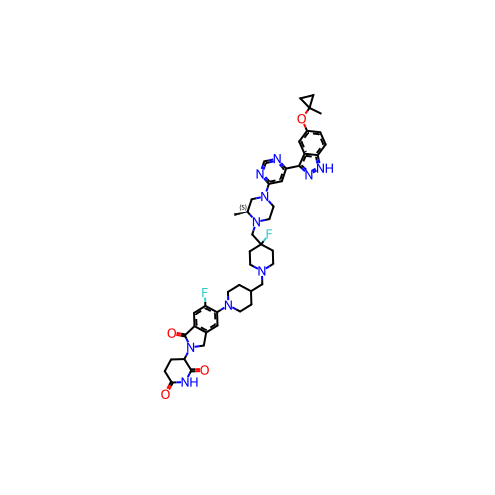 C[C@H]1CN(c2cc(-c3n[nH]c4ccc(OC5(C)CC5)cc34)ncn2)CCN1CC1(F)CCN(CC2CCN(c3cc4c(cc3F)C(=O)N(C3CCC(=O)NC3=O)C4)CC2)CC1